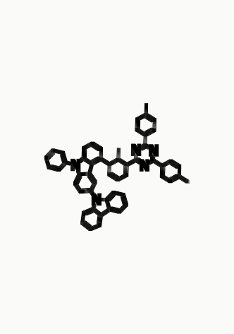 Cc1ccc(-c2nc(C3=CC=CC(c4cccc5c4c4cc(-n6c7ccccc7c7ccccc76)ccc4n5-c4ccccc4)C3C)nc(-c3ccc(C)cc3)n2)cc1